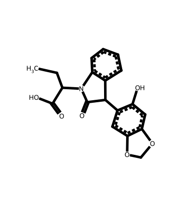 CCC(C(=O)O)N1C(=O)C(c2cc3c(cc2O)OCO3)c2ccccc21